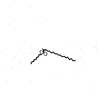 CCCCCCCCCCCCCCCCC=C(C)C(=O)OCCCCCCCCC